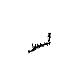 CCCCCC=CC/C=C\CCCCCCCCNCCCCCCCCC